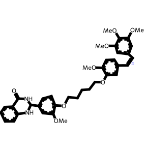 COc1cc(C2NC(=O)c3ccccc3N2)ccc1OCCCCCOc1cc(/C=C\c2cc(OC)c(OC)c(OC)c2)ccc1OC